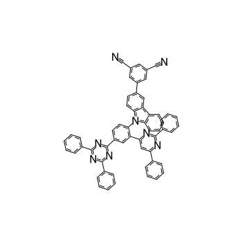 N#Cc1cc(C#N)cc(-c2ccc3c(c2)c2ccccc2n3-c2ccc(-c3nc(-c4ccccc4)nc(-c4ccccc4)n3)cc2-c2cc(-c3ccccc3)nc(-c3ccccc3)n2)c1